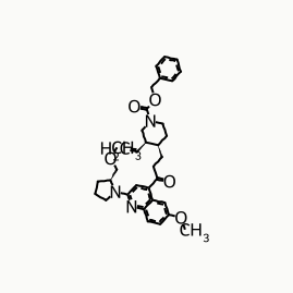 C=C[C@H]1CN(C(=O)OCc2ccccc2)CC[C@H]1CCC(=O)c1cc(N2CCC[C@H]2COC)nc2ccc(OC)cc12